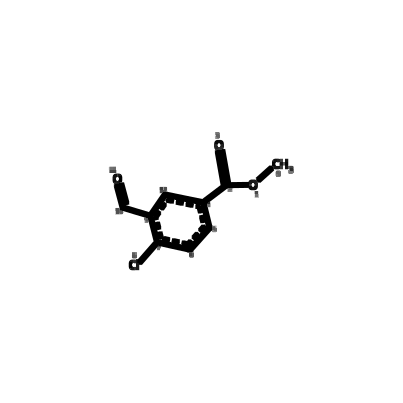 COC(=O)c1ccc(Cl)c(C=O)c1